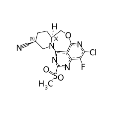 CS(=O)(=O)c1nc2c3c(nc(Cl)c(F)c3n1)OC[C@@H]1CC[C@H](C#N)CN21